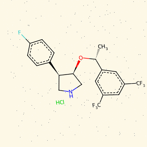 C[C@@H](O[C@H]1CNC[C@H]1c1ccc(F)cc1)c1cc(C(F)(F)F)cc(C(F)(F)F)c1.Cl